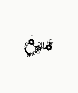 CN1CC(=O)N[C@H]([C@H](O)CNCc2cccc(C(F)(F)F)c2)Cc2cc(F)cc(c2)OCCCCC1=O